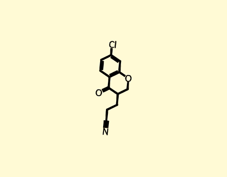 N#CCCC1COc2cc(Cl)ccc2C1=O